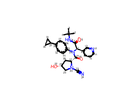 CC(C)(C)NC(=O)[C@@H](c1cccnc1)N(C(=O)[C@H]1C[C@@H](O)CN1C#N)c1ccc(C2CC2)cc1